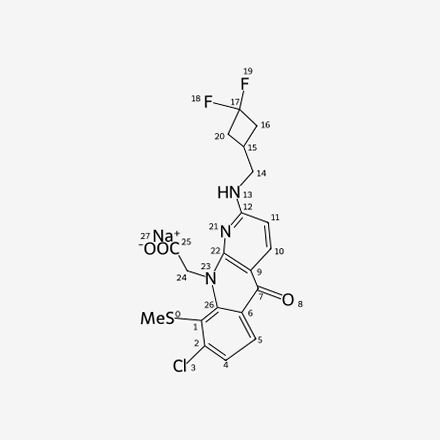 CSc1c(Cl)ccc2c(=O)c3ccc(NCC4CC(F)(F)C4)nc3n(CC(=O)[O-])c12.[Na+]